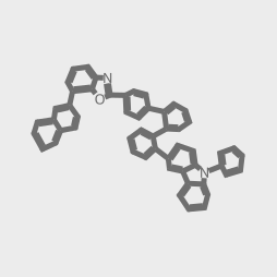 c1ccc(-n2c3ccccc3c3cc(-c4ccccc4-c4ccccc4-c4ccc(-c5nc6cccc(-c7ccc8ccccc8c7)c6o5)cc4)ccc32)cc1